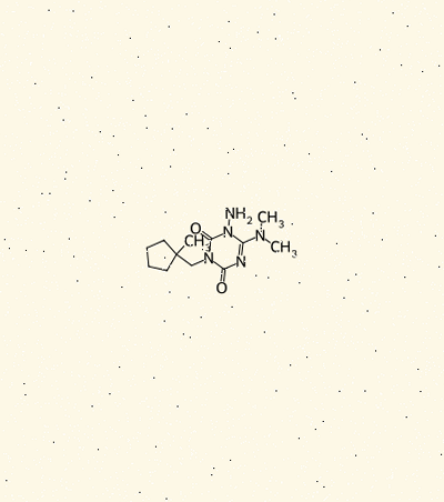 CN(C)c1nc(=O)n(CC2(C)CCCC2)c(=O)n1N